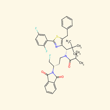 CC(C)C(=O)N(CC[C@@H](CF)N1C(=O)c2ccccc2C1=O)[C@H](c1nc(-c2cc(F)ccc2F)sc1Cc1ccccc1)C(C)(C)C